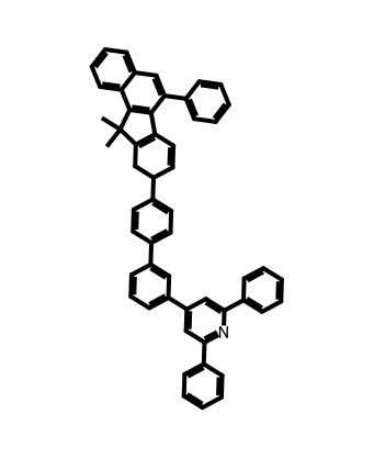 CC1(C)C2=C(C=CC(c3ccc(-c4cccc(-c5cc(-c6ccccc6)nc(-c6ccccc6)c5)c4)cc3)C2)c2c(-c3ccccc3)cc3ccccc3c21